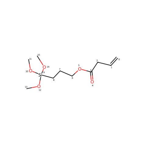 C=CCC(=O)OCCC[Si](OC)(OC)OC